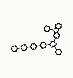 c1ccc(-c2ccc(-c3ccc(-c4ccc(-c5nc(-c6ccccc6)nc(-c6ccc7c8ccccc8n(-c8ccccc8)c7c6)n5)cc4)cc3)cc2)cc1